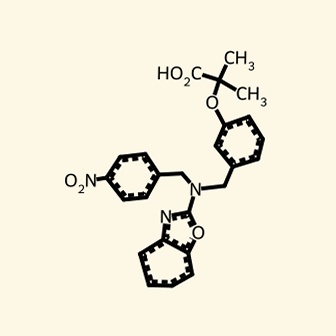 CC(C)(Oc1cccc(CN(Cc2ccc([N+](=O)[O-])cc2)c2nc3ccccc3o2)c1)C(=O)O